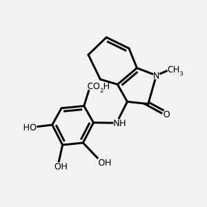 CN1C(=O)C(Nc2c(C(=O)O)cc(O)c(O)c2O)C2=C1C=CCC2